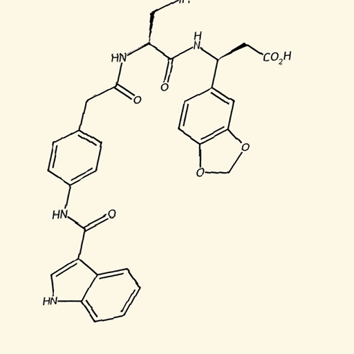 CC(C)C[C@H](NC(=O)Cc1ccc(NC(=O)c2c[nH]c3ccccc23)cc1)C(=O)N[C@@H](CC(=O)O)c1ccc2c(c1)OCO2